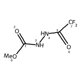 COC(=O)NNC(=O)C(F)(F)F